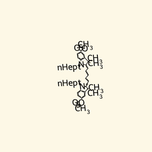 CCCCCCCN1C(=CC=CC=CC2=[N+](CCCCCCC)c3ccc(OS(C)=O)cc3C2(C)C)C(C)(C)c2cc(S(C)(=O)=O)ccc21